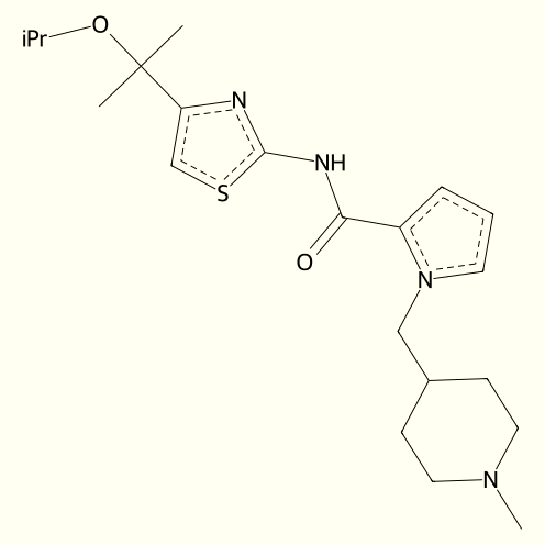 CC(C)OC(C)(C)c1csc(NC(=O)c2cccn2CC2CCN(C)CC2)n1